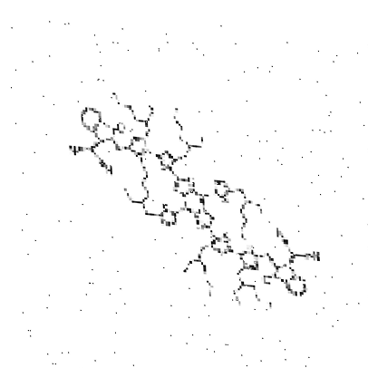 CCCCC(CC)Cc1ccc(-c2c3cc(-c4sc(-c5sc(/C=C6\C(=O)c7ccccc7C6=C(C#N)C#N)cc5CC(CC)CCCC)cc4CC(CC)CCCC)sc3c(-c3ccc(CC(CC)CCCC)s3)c3cc(-c4sc(-c5sc(C=C6C(=O)c7ccccc7C6=C(C#N)C#N)cc5CC(CC)CCCC)cc4CC(CC)CCCC)sc23)s1